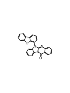 O=c1c2ccccc2nc2n(-c3cccc4c3oc3ccccc34)c3ccccc3n12